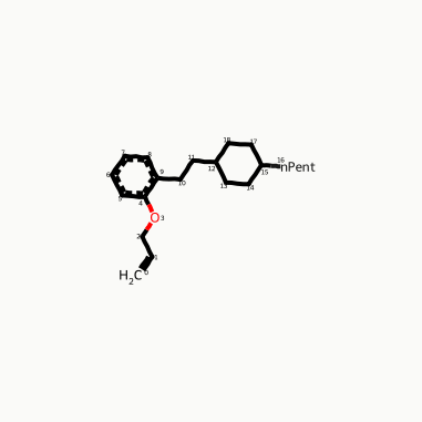 C=CCOc1ccccc1CCC1CCC(CCCCC)CC1